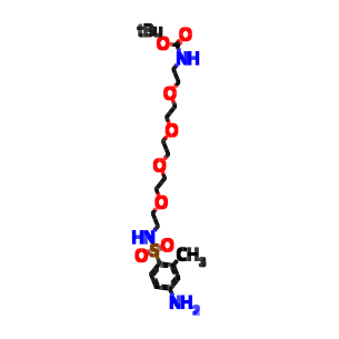 Cc1cc(N)ccc1S(=O)(=O)NCCOCCOCCOCCOCCNC(=O)OC(C)(C)C